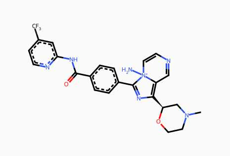 CN1CCO[C@@H](C2=C3C=NC=C[N+]3(N)C(c3ccc(C(=O)Nc4cc(C(F)(F)F)ccn4)cc3)=N2)C1